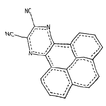 N#Cc1nc2c3cccc4ccc5cccc(c2nc1C#N)c5c43